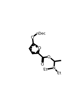 CCCCCCCCCCOc1ccc(C(=O)OC(C)N(CC)CC)o1